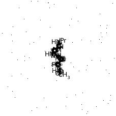 CC(C)Nc1cncc(-c2ccc3[nH]nc(-c4nc5c(-c6cc(F)cc(CNS(C)(=O)=O)c6)cncc5[nH]4)c3c2)c1